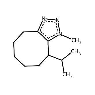 CC(C)C1CCCCCc2nnn(C)c21